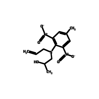 C=CCN(CC(C)O)c1c([N+](=O)[O-])cc(C)cc1[N+](=O)[O-]